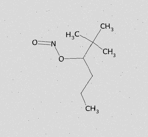 CCCC(ON=O)C(C)(C)C